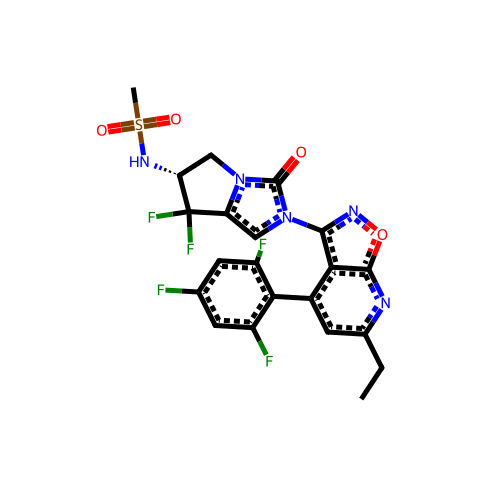 CCc1cc(-c2c(F)cc(F)cc2F)c2c(-n3cc4n(c3=O)C[C@@H](NS(C)(=O)=O)C4(F)F)noc2n1